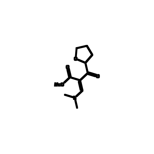 COC(=O)C(=CN(C)C)C(=O)C1CCCO1